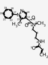 C=CC(=O)NCCCN(C)S(=O)(=O)c1cnn(-c2ccccc2)c1C